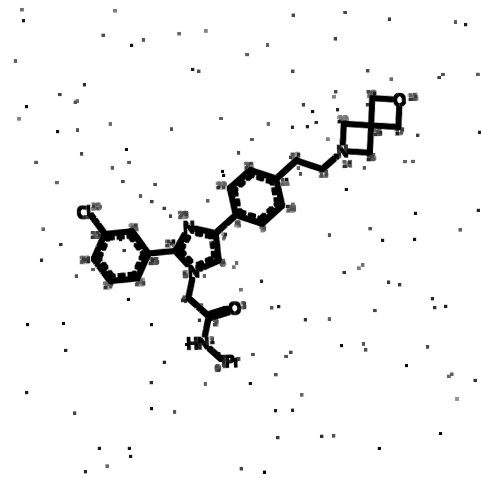 CC(C)NC(=O)Cn1cc(-c2ccc(CCN3CC4(COC4)C3)cc2)nc1-c1cccc(Cl)c1